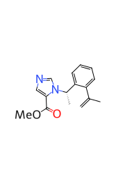 C=C(C)c1ccccc1[C@H](C)n1cncc1C(=O)OC